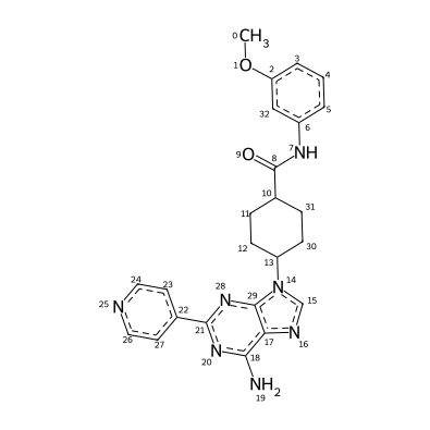 COc1cccc(NC(=O)C2CCC(n3cnc4c(N)nc(-c5ccncc5)nc43)CC2)c1